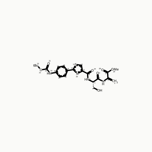 C=C(NC(=O)[C@H](CO)NC(=O)c1csc(-c2ccc(NC(=O)OC(C)(C)C)cc2)n1)C(=O)OC